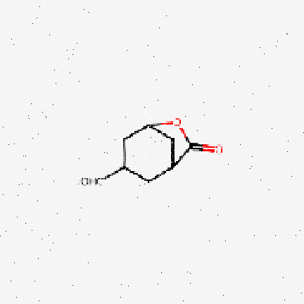 O=CC1CC2CC(C1)C(=O)O2